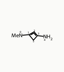 CNC1=C=C(N)C1